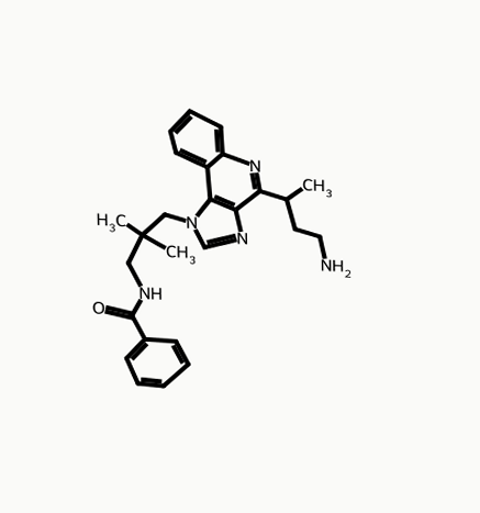 CC(CCN)c1nc2ccccc2c2c1ncn2CC(C)(C)CNC(=O)c1ccccc1